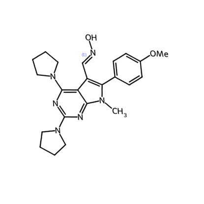 COc1ccc(-c2c(/C=N/O)c3c(N4CCCC4)nc(N4CCCC4)nc3n2C)cc1